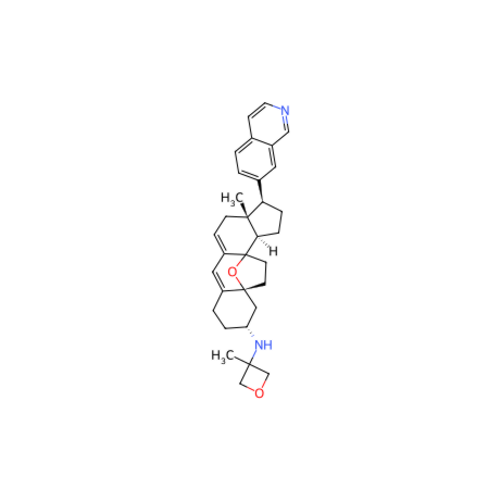 CC1(N[C@@H]2CCC3=CC4=CC[C@]5(C)[C@@H](c6ccc7ccncc7c6)CC[C@H]5C45CC[C@]3(C2)O5)COC1